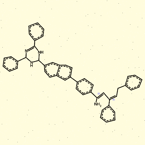 N/C(=C\C(=C/Cc1ccccc1)c1ccccc1)c1ccc(-c2ccc3cc(C4NC(c5ccccc5)=NC(c5ccccc5)N4)ccc3c2)cc1